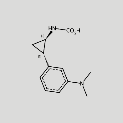 CN(C)c1cccc([C@@H]2C[C@H]2NC(=O)O)c1